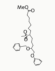 COC(=O)CCCCCCC(CCCC(COc1ccccc1)OCc1ccccc1)S(C)(=O)=O